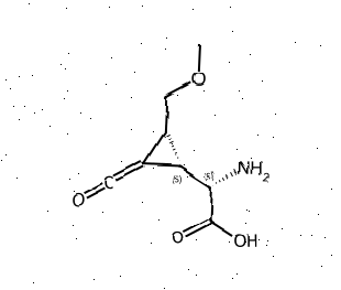 COCC1C(=C=O)[C@H]1[C@H](N)C(=O)O